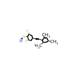 Cc1cc(C)c(C#Cc2cc(F)c(SC#N)c(F)c2)c(C)c1